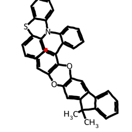 CC1(C)c2ccccc2-c2cc3c(cc21)Oc1cccc(-c2ccccc2N2c4ccccc4Sc4ccccc42)c1O3